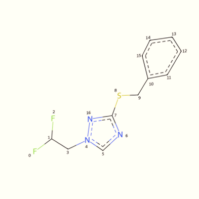 FC(F)Cn1cnc(SCc2ccccc2)n1